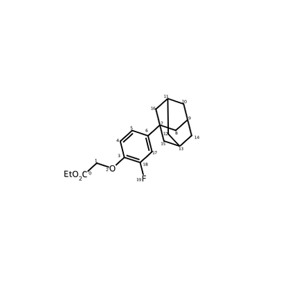 CCOC(=O)COc1ccc(C23CC4CC(CC(C4)C2)C3)cc1F